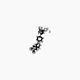 CCn1nc([C@H]2CC[C@H](N3CCC4(C3)CS(=O)(=O)C4)CC2)cc1C(F)(F)F